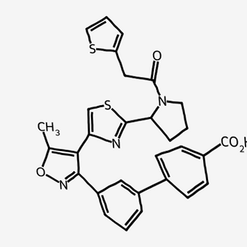 Cc1onc(-c2cccc(-c3ccc(C(=O)O)cc3)c2)c1-c1csc(C2CCCN2C(=O)Cc2cccs2)n1